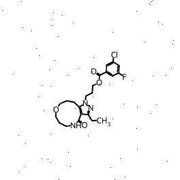 CCc1nn(CCCOC(=O)c2cc(F)cc(Cl)c2)c2c1C(=O)NCCCOCCC2